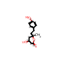 C[C@]1(CCc2ccc(O)cc2)CC(O)=CC(=O)O1